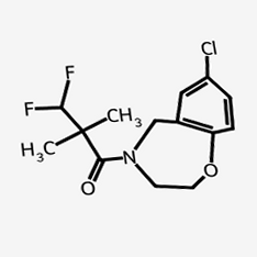 CC(C)(C(=O)N1CCOc2ccc(Cl)cc2C1)C(F)F